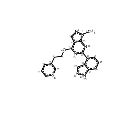 Cn1ncc2c(OCCc3cccnc3)nc(-c3cccc4[nH]ncc34)nc21